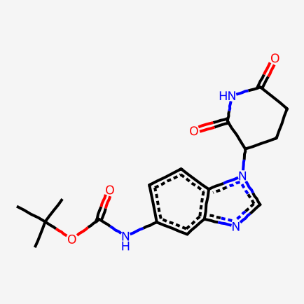 CC(C)(C)OC(=O)Nc1ccc2c(c1)ncn2C1CCC(=O)NC1=O